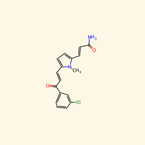 Cn1c(/C=C/C(N)=O)ccc1/C=C/C(=O)c1cccc(Cl)c1